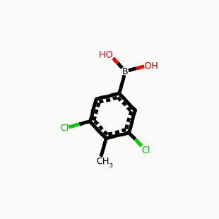 Cc1c(Cl)cc(B(O)O)cc1Cl